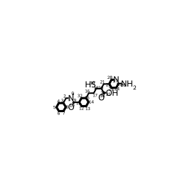 CN(Cc1ccccc1)C(=O)c1cccc(CCC(S)C(Cc2ccc(N)nc2)C(=O)O)c1